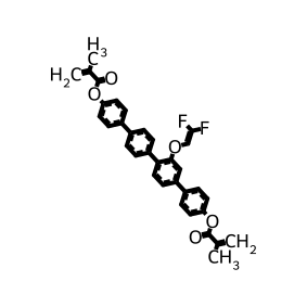 C=C(C)C(=O)Oc1ccc(-c2ccc(-c3ccc(-c4ccc(OC(=O)C(=C)C)cc4)cc3OC=C(F)F)cc2)cc1